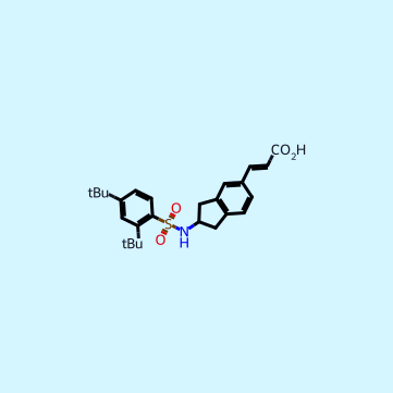 CC(C)(C)c1ccc(S(=O)(=O)NC2Cc3ccc(/C=C/C(=O)O)cc3C2)c(C(C)(C)C)c1